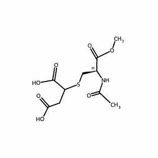 COC(=O)[C@H](CSC(CC(=O)O)C(=O)O)NC(C)=O